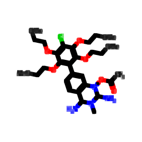 COCCOc1c(Cl)c(OCCOC)c(OCCOC)c(-c2ccc3c(c2)N(OC(=O)C(F)(F)F)C(N)N(C)C3N)c1OCCOC